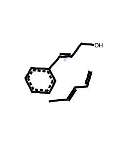 C=CC=CC.OC/C=C/c1ccccc1